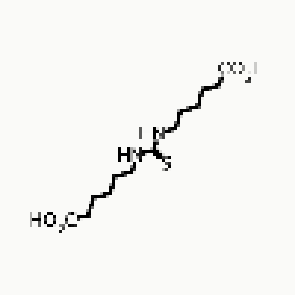 O=C(O)CCCCCNC(=S)NCCCCCC(=O)O